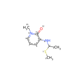 CSC(C)Nc1cccn(C)c1=O